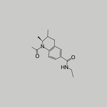 CCNC(=O)c1ccc2c(c1)CC(C)[C@H](C)N2C(C)=O